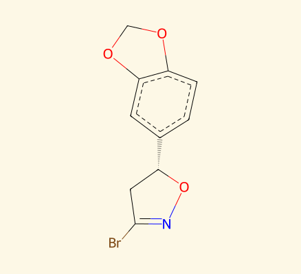 BrC1=NO[C@@H](c2ccc3c(c2)OCO3)C1